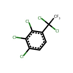 FC(F)(F)C(Cl)(Cl)c1ccc(Cl)c(Cl)c1Cl